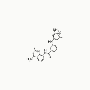 Cc1cc(N)c2cccc(NC(=O)c3cccc(Nc4cc(C)[n+](C)c(N)n4)c3)c2n1